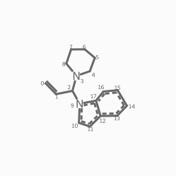 C=CC(N1CCCCC1)n1ccc2ccccc21